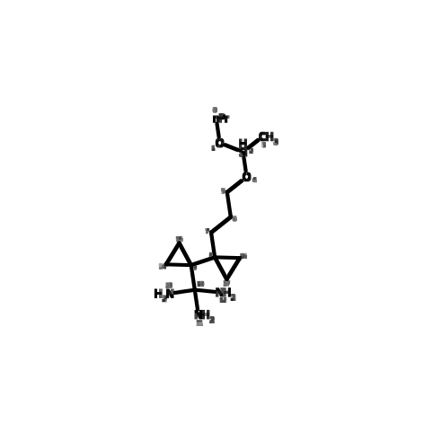 CCCO[SiH](C)OCCCC1(C2(C(N)(N)N)CC2)CC1